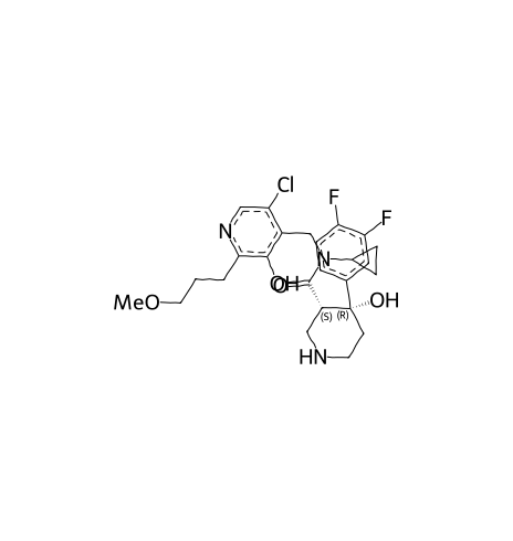 COCCCc1ncc(Cl)c(CN(C(=O)[C@H]2CNCC[C@]2(O)c2ccc(F)c(F)c2)C2CC2)c1O